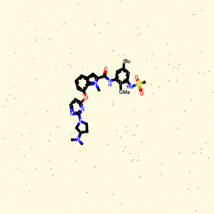 COc1c(NC(=O)c2cc3cccc(Oc4ccnc(N5CCC(N(C)C)C5)n4)c3n2C)cc(C(C)(C)C)cc1NS(C)(=O)=O